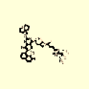 CN(CC1CN(C(=O)C=Cc2nc(C(C)(C)O)no2)C1)c1nc(OCC23CCCN2CCC3)nc2c(F)c(-c3cccc4ccc(F)c(Cl)c34)ncc12